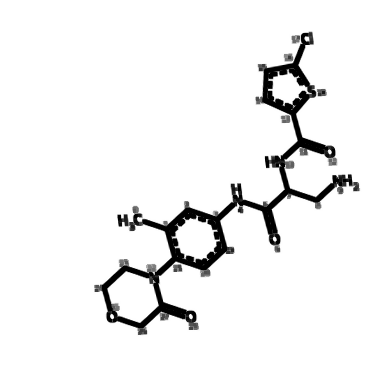 Cc1cc(NC(=O)C(CN)NC(=O)c2ccc(Cl)s2)ccc1N1CCOCC1=O